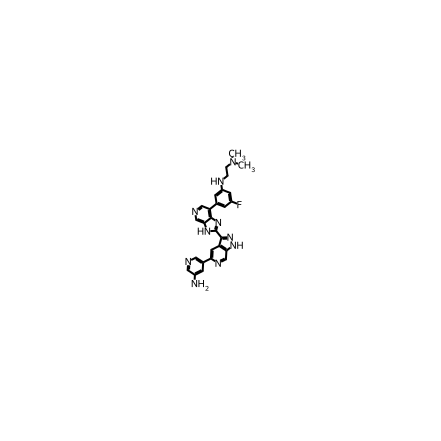 CN(C)CCNc1cc(F)cc(-c2cncc3[nH]c(-c4n[nH]c5cnc(-c6cncc(N)c6)cc45)nc23)c1